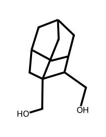 OCC1C2CC3CC(C2)CC1(CO)C3